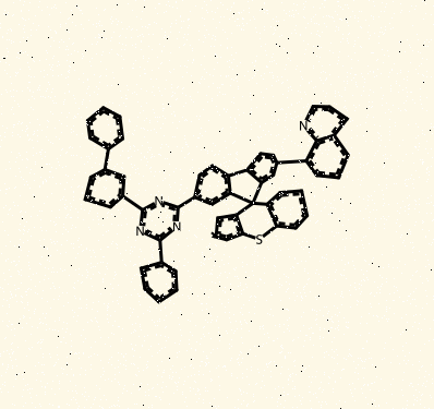 c1ccc(-c2cccc(-c3nc(-c4ccccc4)nc(-c4ccc5c(c4)C4(c6ccccc6Sc6ccccc64)c4cc(-c6cccc7cccnc67)ccc4-5)n3)c2)cc1